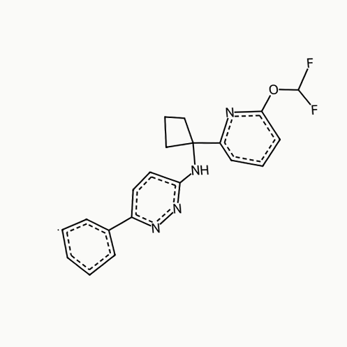 FC(F)Oc1cccc(C2(Nc3ccc(-c4c[c]ccc4)nn3)CCC2)n1